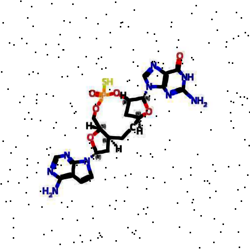 Nc1nc2c(ncn2[C@@H]2O[C@H]3CC[C@H]4C[C@H](n5ccc6c(N)ncnc65)O[C@@H]4COP(=O)(S)O[C@@H]2C3)c(=O)[nH]1